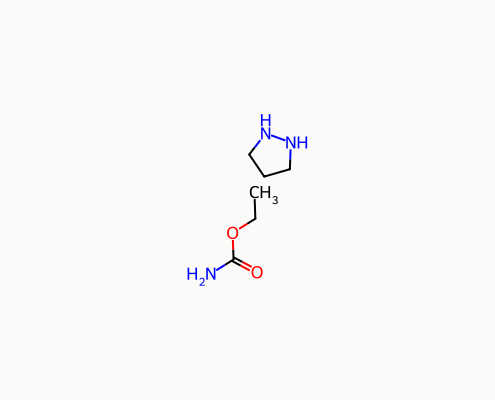 C1CNNC1.CCOC(N)=O